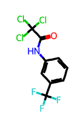 O=C(Nc1cccc(C(F)(F)F)c1)C(Cl)(Cl)Cl